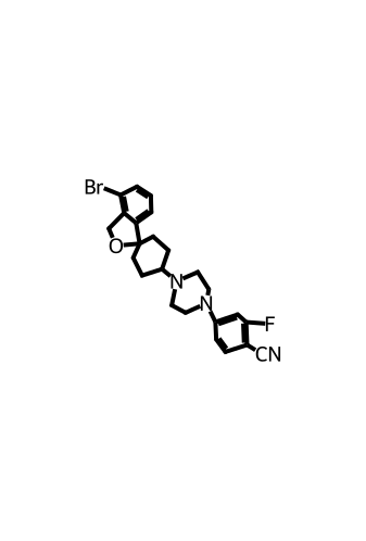 N#Cc1ccc(N2CCN(C3CCC4(CC3)OCc3c(Br)cccc34)CC2)cc1F